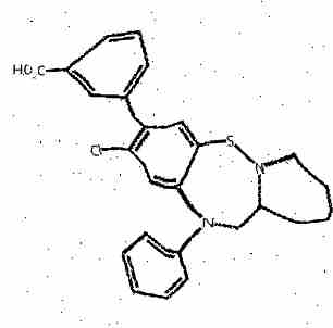 O=C(O)c1cccc(-c2cc3c(cc2Cl)N(c2ccccc2)CC2CCCCN2S3)c1